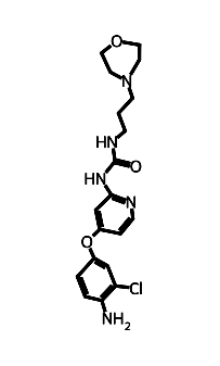 Nc1ccc(Oc2ccnc(NC(=O)NCCCN3CCOCC3)c2)cc1Cl